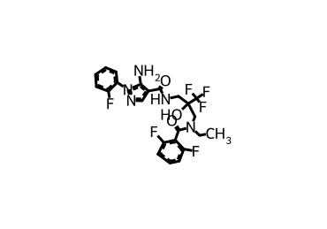 CCN(CC(O)(CNC(=O)c1cnn(-c2ccccc2F)c1N)C(F)(F)F)C(=O)c1c(F)cccc1F